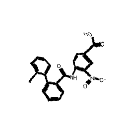 Cc1ccccc1-c1ccccc1C(=O)Nc1ccc(C(=O)O)cc1[N+](=O)[O-]